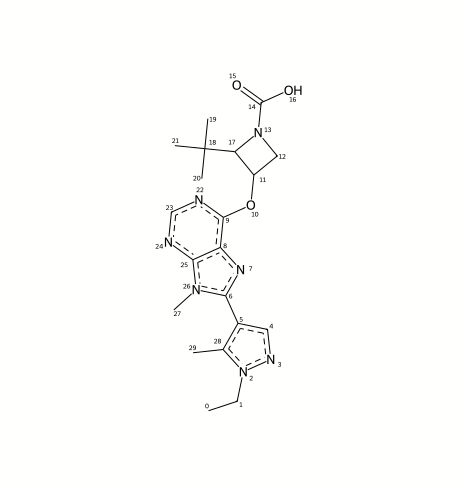 CCn1ncc(-c2nc3c(OC4CN(C(=O)O)C4C(C)(C)C)ncnc3n2C)c1C